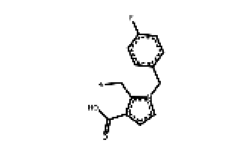 O=C(O)c1ccn(Cc2ccc(F)cc2)c1CBr